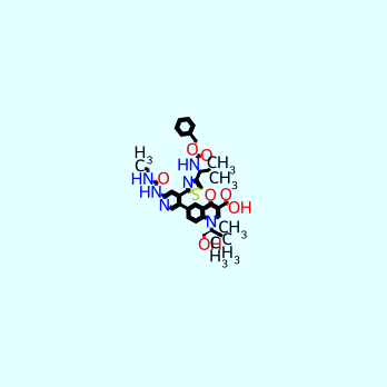 CCNC(=O)Nc1cc(-c2nc([C@H](NC(=O)OCc3ccccc3)C(C)C)cs2)c(-c2ccc3c(c2)c(=O)c(C(=O)O)cn3[C@H](CO)C(C)(C)C)cn1